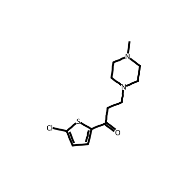 CN1CCN(CCC(=O)c2ccc(Cl)s2)CC1